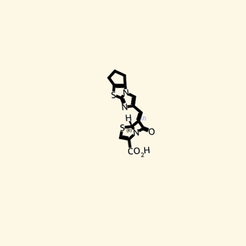 O=C(O)C1=CS[C@@H]2/C(=C\c3cn4c5c(sc4n3)CCC5)C(=O)N12